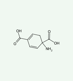 NC1(C(=O)O)C=CC(C(=O)O)=CC1